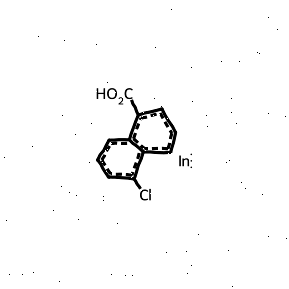 O=C(O)c1cccc2c(Cl)cccc12.[In]